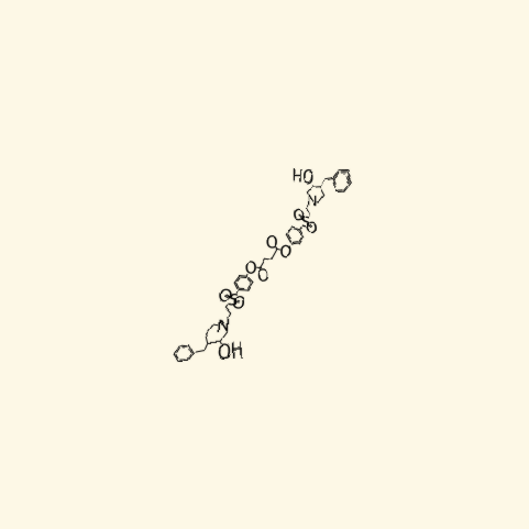 O=C(CCC(=O)Oc1ccc(S(=O)(=O)CCN2CCC(Cc3ccccc3)C(O)C2)cc1)Oc1ccc(S(=O)(=O)CCN2CCC(Cc3ccccc3)C(O)C2)cc1